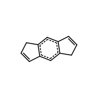 C1=Cc2cc3c(cc2C1)C=CC3